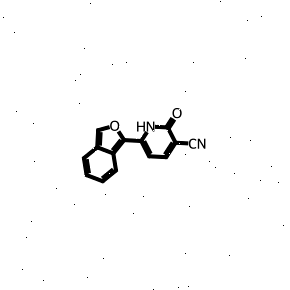 N#Cc1ccc(-c2occ3ccccc23)[nH]c1=O